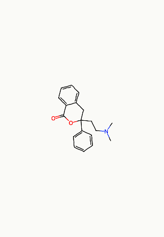 CN(C)CCC1(c2ccccc2)Cc2ccccc2C(=O)O1